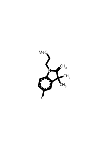 C=C1N(CCOC)c2ccc(Cl)cc2C1(C)C